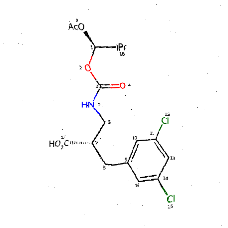 CC(=O)O[C@H](OC(=O)NC[C@H](Cc1cc(Cl)cc(Cl)c1)C(=O)O)C(C)C